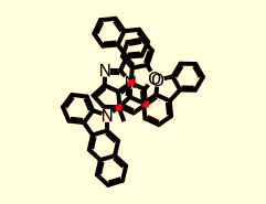 CC1C/C=C(c2c(-n3c4ccccc4c4cc5ccccc5cc43)ccc3oc4ccccc4c23)/N=C(c2cccc3ccccc23)\N=C/1c1cccc2c1oc1ccccc12